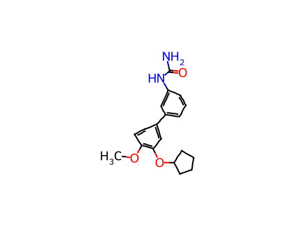 COc1ccc(-c2cccc(NC(N)=O)c2)cc1OC1CCCC1